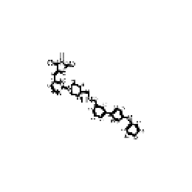 O=C1NC(=O)C(=Cc2ccnc(N3CCC(CNCc4cccc(-c5ccc(Oc6ccccc6)cc5)c4)CC3)n2)S1